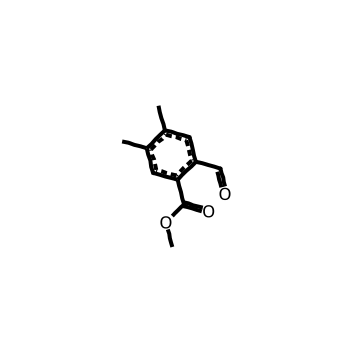 COC(=O)c1cc(C)c(C)cc1C=O